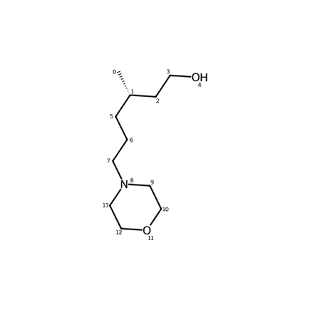 C[C@H](CCO)CCCN1CCOCC1